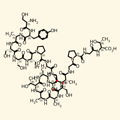 CC(C)C[C@H](NC(=O)[C@H](CO)NC(=O)[C@H](CO)NC(=O)[C@H](C)NC(=O)[C@H](Cc1ccc(O)cc1)NC(=O)[C@@H](N)CO)C(=O)N1CCC[C@H]1C(=O)NCC(=O)NCC(=O)N[C@@H](CO)C(=O)N[C@@H](C)C(=O)N[C@@H](C)C(=O)N[C@H](C(=O)N[C@@H](C)C(=O)N[C@@H](C)C(=O)N[C@@H](C)C(=O)NCC(=O)N1CCC[C@H]1C(=O)NCC(=O)N[C@H](C(=O)O)[C@@H](C)O)[C@@H](C)O